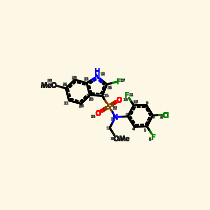 COCN(c1cc(F)c(Cl)cc1F)S(=O)(=O)c1c(F)[nH]c2cc(OC)ccc12